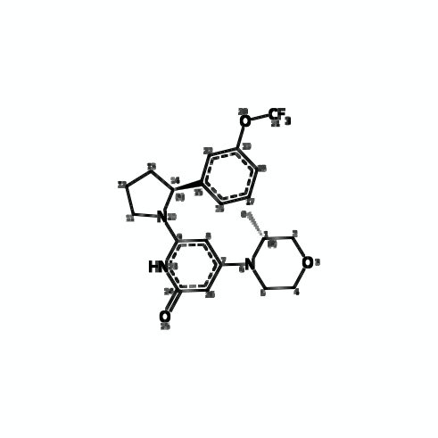 C[C@@H]1COCCN1c1cc(N2CCC[C@H]2c2cccc(OC(F)(F)F)c2)[nH]c(=O)c1